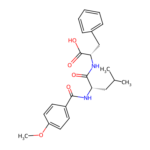 COc1ccc(C(=O)N[C@@H](CC(C)C)C(=O)N[C@@H](Cc2ccccc2)C(=O)O)cc1